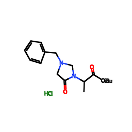 CC(C)COC(=O)C(C)N1CN(Cc2ccccc2)CC1=O.Cl